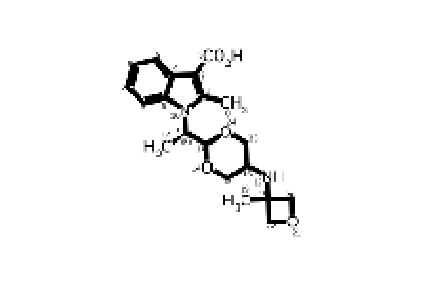 Cc1c(C(=O)O)c2ccccc2n1[C@H](C)C1OCC(NC2(C)COC2)CO1